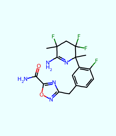 CC1(F)CC(F)(F)C(C)(c2cc(Cc3noc(C(N)=O)n3)ccc2F)N=C1N